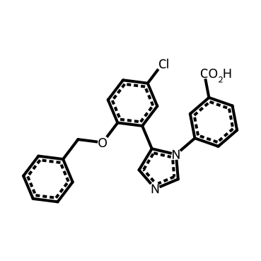 O=C(O)c1cccc(-n2cncc2-c2cc(Cl)ccc2OCc2ccccc2)c1